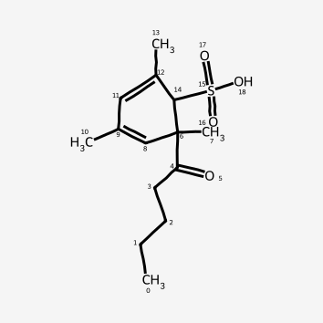 CCCCC(=O)C1(C)C=C(C)C=C(C)C1S(=O)(=O)O